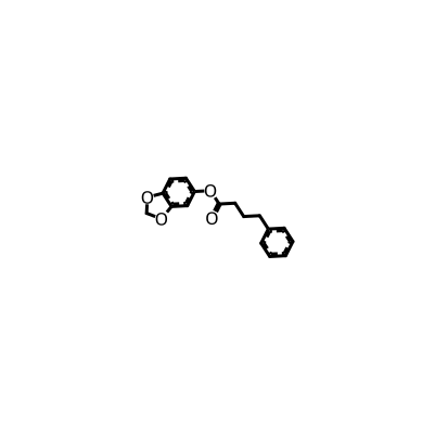 O=C(CCCc1ccccc1)Oc1ccc2c(c1)OCO2